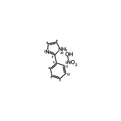 O=[N+]([O-])O.c1ccc(-c2ncc[nH]2)cc1